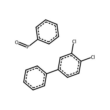 Clc1ccc(-c2ccccc2)cc1Cl.O=Pc1ccccc1